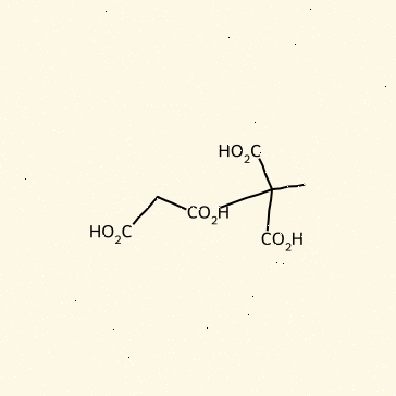 CC(C)(C(=O)O)C(=O)O.O=C(O)CC(=O)O